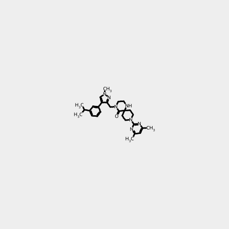 Cc1cc(C)nc(N2CCC3(CC2)NCCN(Cc2nn(C)cc2-c2cccc(C(C)C)c2)C3=O)n1